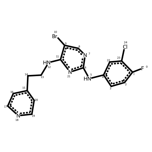 Fc1ccc(Nc2ncc(Br)c(NCCc3ccncc3)n2)cc1Cl